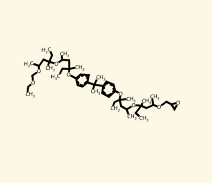 CCOCOC(C)CC(C)(CC)OC(C)CC(C)(CC)Oc1ccc(C(C)(C)c2ccc(OC(C)(CC)CC(C)OC(C)(CC)CC(C)OCC3CO3)cc2)cc1